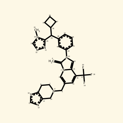 C=C1N2C=C(CN3CCc4scnc4C3)C=C(C(F)(F)F)C2=CN1c1cccc(C(c2nncn2C)C2CCC2)c1